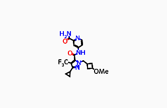 COC1CC(Cn2nc(C3CC3)c(C(F)(F)F)c2C(=O)Nc2ccnc(C(N)=O)c2)C1